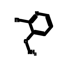 CCc1ncccc1ON